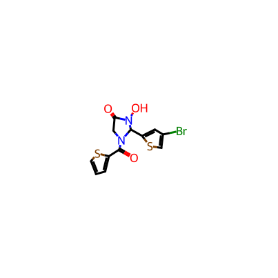 O=C1CN(C(=O)c2cccs2)C(c2cc(Br)cs2)N1O